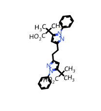 CC(C)(C(=O)O)c1cc(CCc2cc(C(C)(C)C(=O)O)n(-c3ccccc3)n2)nn1-c1ccccc1